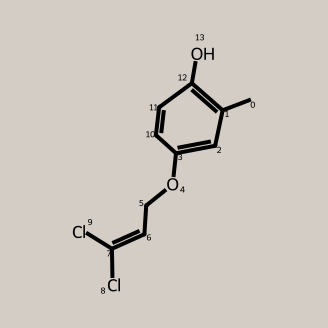 Cc1cc(OCC=C(Cl)Cl)ccc1O